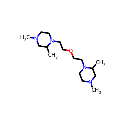 CC1CN(C)CCN1CCOCCN1CCN(C)CC1C